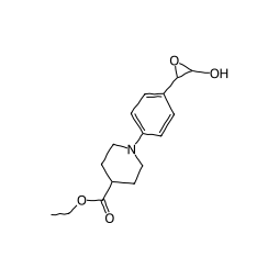 CCOC(=O)C1CCN(c2ccc(C3OC3O)cc2)CC1